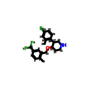 Cc1ccc(C(F)F)cc1COC1CCNCC1c1ccc(F)cc1C